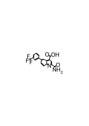 NC(=O)c1cc(C(=O)O)c2cc(-c3cccc(C(F)(F)F)c3)ccc2n1